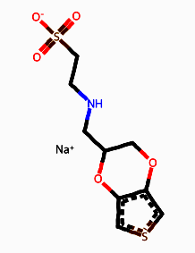 O=S(=O)([O-])CCNCC1COc2cscc2O1.[Na+]